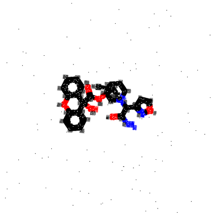 NC(=O)C(c1ccon1)[N+]12CCC(CC1)[C@@H](OC(=O)C1(O)c3ccccc3Oc3ccccc31)C2